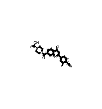 Cc1cc(-c2cc(Cl)c3ccc(C(=O)N4CCN(C(=O)O)CC4)cc3n2)ccc1C#N